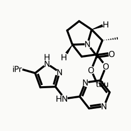 CC(C)c1cc(Nc2cncc(OC3C[C@@H]4CC[C@H]([C@@H]3C)N4C(=O)OC(C)(C)C)n2)n[nH]1